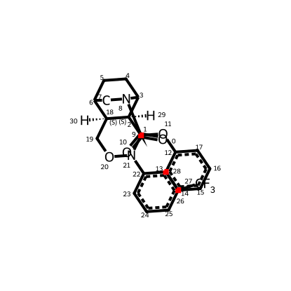 O=C1[C@@H]2C3CCC(CN3C(=O)Oc3ccccc3)[C@@H]2CON1c1cccc(C(F)(F)F)c1